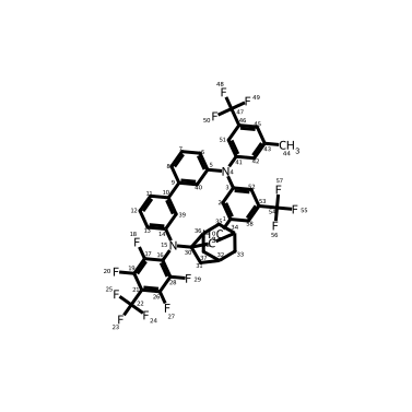 Cc1cc(N(c2cccc(-c3cccc(N(c4c(F)c(F)c(C(F)(F)F)c(F)c4F)C45CC6CC(CC4C6)C5)c3)c2)c2cc(C)cc(C(F)(F)F)c2)cc(C(F)(F)F)c1